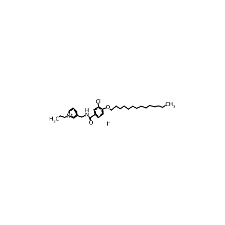 CCCCCCCCCCCCCCOc1ccc(C(=O)NCc2ccc[n+](CCC)c2)cc1Cl.[I-]